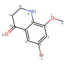 COc1cc(Br)cc2c1NCCC2=O